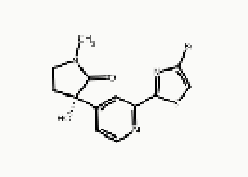 CN1CC[C@](O)(c2ccnc(-c3nc(Br)cs3)c2)C1=O